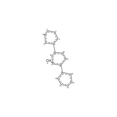 C.c1ccc(-c2ccc(-c3ccccc3)cc2)cc1